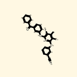 Cc1c(F)c(Oc2cccc(C#N)c2)nc(Oc2cccc(C(=O)c3ccccc3)c2)c1F